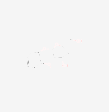 COC1=CC=CCC1O[C@H]1C[C@@H](O)C[C@@H](CO)O1